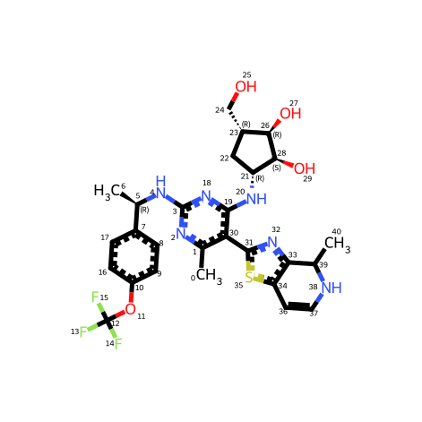 Cc1nc(N[C@H](C)c2ccc(OC(F)(F)F)cc2)nc(N[C@@H]2C[C@H](CO)[C@@H](O)[C@H]2O)c1-c1nc2c(s1)C=CNC2C